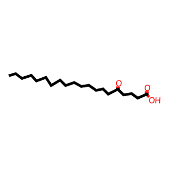 CCCCCCCCCCCCCCCC(=O)CCCC(=O)O